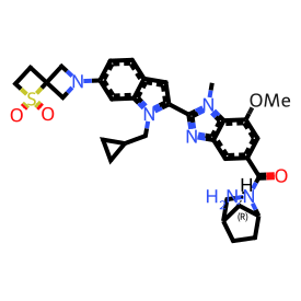 COc1cc(C(=O)N2CC3CCC2[C@@H]3N)cc2nc(-c3cc4ccc(N5CC6(CCS6(=O)=O)C5)cc4n3CC3CC3)n(C)c12